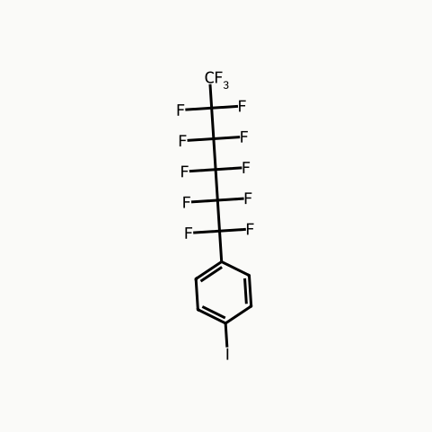 FC(F)(F)C(F)(F)C(F)(F)C(F)(F)C(F)(F)C(F)(F)c1ccc(I)cc1